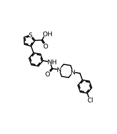 O=C(O)c1sccc1-c1cccc(NC(=O)N2CCN(Cc3ccc(Cl)cc3)CC2)c1